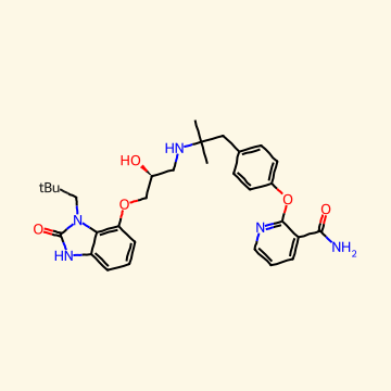 CC(C)(C)Cn1c(=O)[nH]c2cccc(OC[C@@H](O)CNC(C)(C)Cc3ccc(Oc4ncccc4C(N)=O)cc3)c21